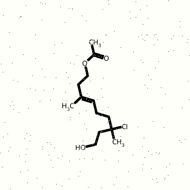 CC(=O)OCCC(C)=CCCC(C)(Cl)CCO